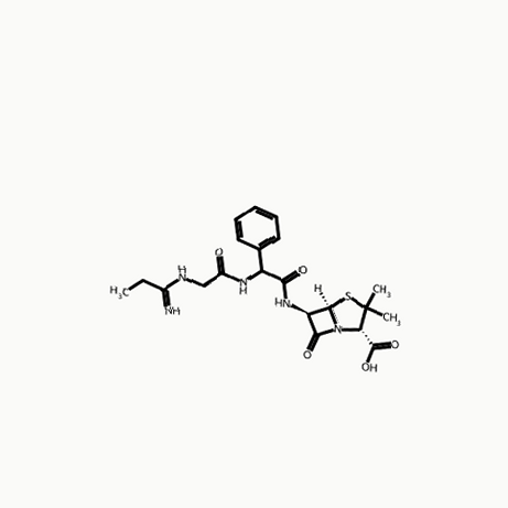 CCC(=N)NCC(=O)NC(C(=O)N[C@@H]1C(=O)N2[C@@H]1SC(C)(C)[C@@H]2C(=O)O)c1ccccc1